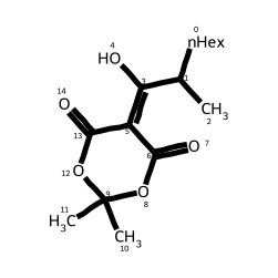 CCCCCCC(C)C(O)=C1C(=O)OC(C)(C)OC1=O